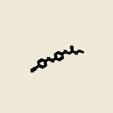 CCOC(=O)COc1ccc(N=Nc2ccc(C#N)cc2)cc1